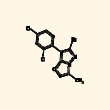 CCc1nn2c(C)coc2c1-c1ccc(Cl)cc1Cl